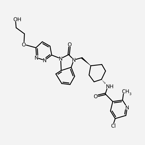 Cc1ncc(Cl)cc1C(=O)N[C@H]1CC[C@H](Cn2c(=O)n(-c3ccc(OCCO)nn3)c3ccccc32)CC1